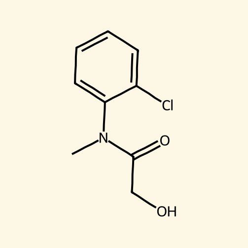 CN(C(=O)CO)c1ccccc1Cl